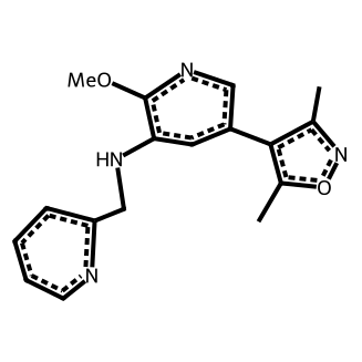 COc1ncc(-c2c(C)noc2C)cc1NCc1ccccn1